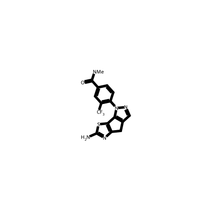 CNC(=O)c1ccc(-n2ncc3c2-c2sc(N)nc2C3)c(C(F)(F)F)c1